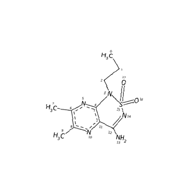 CCCN1c2nc(C)c(C)nc2C(N)=NS1(=O)=O